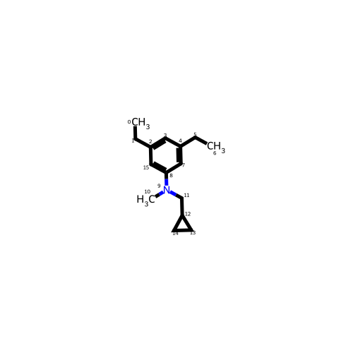 CCc1cc(CC)cc(N(C)CC2CC2)c1